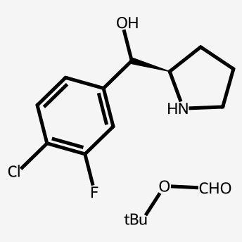 CC(C)(C)OC=O.OC(c1ccc(Cl)c(F)c1)[C@H]1CCCN1